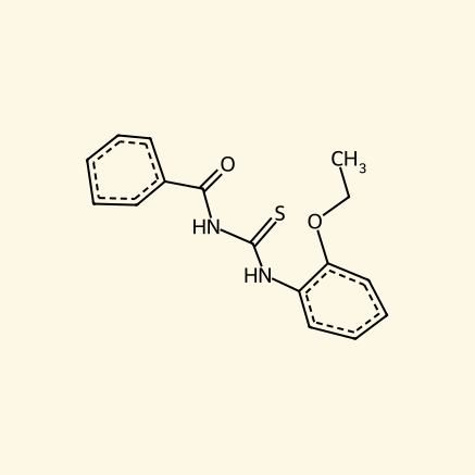 CCOc1ccccc1NC(=S)NC(=O)c1ccccc1